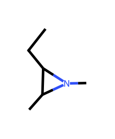 CCC1C(C)N1C